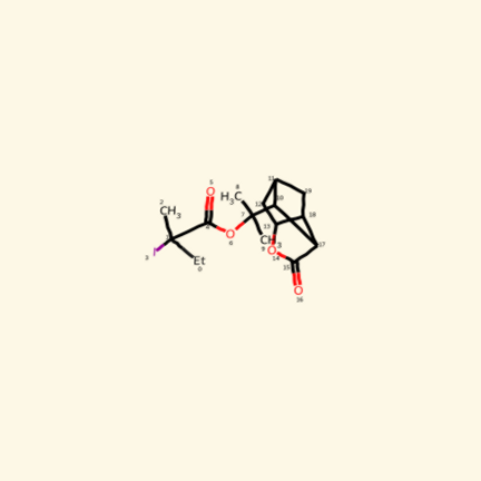 CCC(C)(I)C(=O)OC(C)(C)C1C2CC3OC(=O)C1C3C2